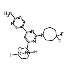 Nc1ncc(-c2cc(N3C[C@@H]4CC[C@H]3CO4)nc(N3CCCC(F)(F)CC3)n2)cn1